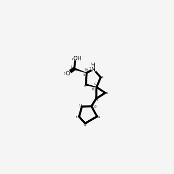 O=C(O)[C@@H]1C[C@@]2(CN1)CC2C1CCCC1